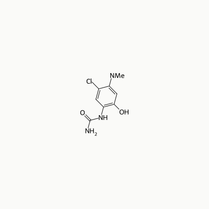 CNc1cc(O)c(NC(N)=O)cc1Cl